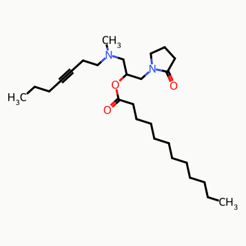 CCCC#CCCN(C)CC(CN1CCCC1=O)OC(=O)CCCCCCCCCCC